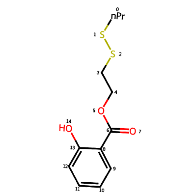 CCCSSCCOC(=O)c1ccccc1O